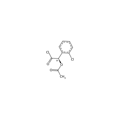 CC(=O)O[C@@H](C(=O)Cl)c1ccccc1Cl